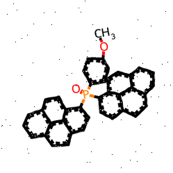 COc1ccc(P(=O)(c2ccc3ccc4cccc5ccc2c3c45)c2ccc3ccc4cccc5ccc2c3c45)cc1